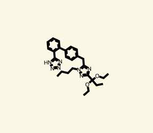 CCCCn1nc(C(CC)(OCC)OCC)nc1Cc1ccc(-c2ccccc2-c2nnn[nH]2)cc1